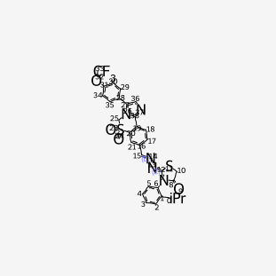 CC(C)c1ccccc1N1C(=O)CS/C1=N\N=C\c1ccc2c(c1)S(=O)(=O)Cn1c(-c3ccc(OC(F)(F)F)cc3)cnc1-2